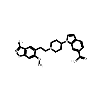 COc1cc2onc(C)c2cc1CCN1CCC(n2ccc3ccc(C(N)=O)cc32)CC1